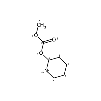 COC(=O)OC1CCCC[N]1